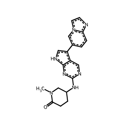 CN1CC(Nc2ncc3c(-c4ccc5nccn5c4)c[nH]c3n2)CCC1=O